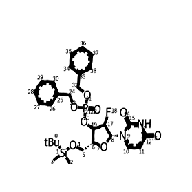 CC(C)(C)[Si](C)(C)OC[C@H]1O[C@@H](n2ccc(=O)[nH]c2=O)C(F)C1OP(=O)(OCc1ccccc1)OCc1ccccc1